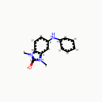 Cn1c(=O)n(C)c2cc(Nc3[c]cccc3)ccc21